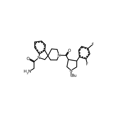 CC(C)(C)N1CC(C(=O)N2CCC3(CC2)CN(C(=O)CN)c2ccccc23)C(c2ccc(F)cc2F)C1